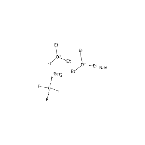 CC[O+](CC)CC.CC[O+](CC)CC.F[B-](F)(F)F.[BH4-].[NaH]